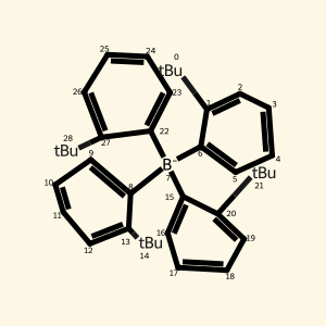 CC(C)(C)c1ccccc1[B-](c1ccccc1C(C)(C)C)(c1ccccc1C(C)(C)C)c1ccccc1C(C)(C)C